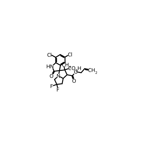 C=CCOC(=O)C1C2CC(F)(F)CN2C2(C(=O)Nc3c(Cl)cc(Cl)cc32)C1(C)C(=O)O